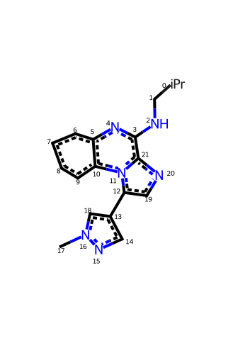 CC(C)CNc1nc2ccccc2n2c(-c3cnn(C)c3)cnc12